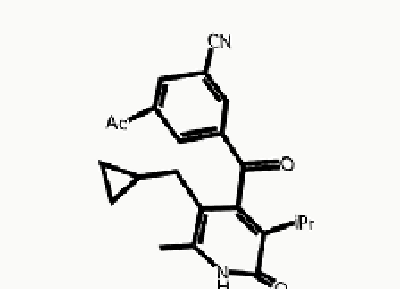 CC(=O)c1cc(C#N)cc(C(=O)c2c(CC3CC3)c(C)[nH]c(=O)c2C(C)C)c1